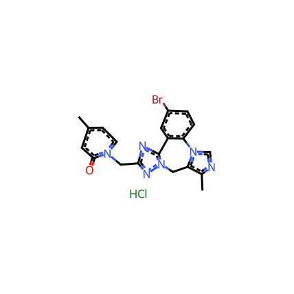 Cc1ccn(Cc2nc3n(n2)Cc2c(C)ncn2-c2ccc(Br)cc2-3)c(=O)c1.Cl